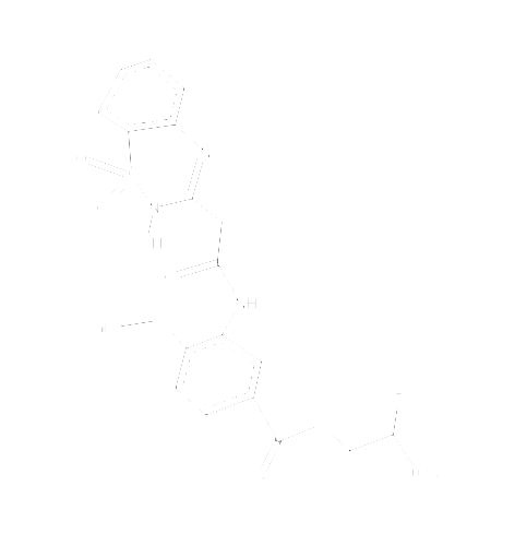 CCCCC(CC)COC(=O)c1ccc(OCCC)c(NC(=O)CC2=Nc3ccccc3S(=O)(=O)N2C)c1